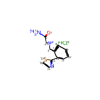 Cl.NC(=O)CNCc1ccccc1-c1nccs1